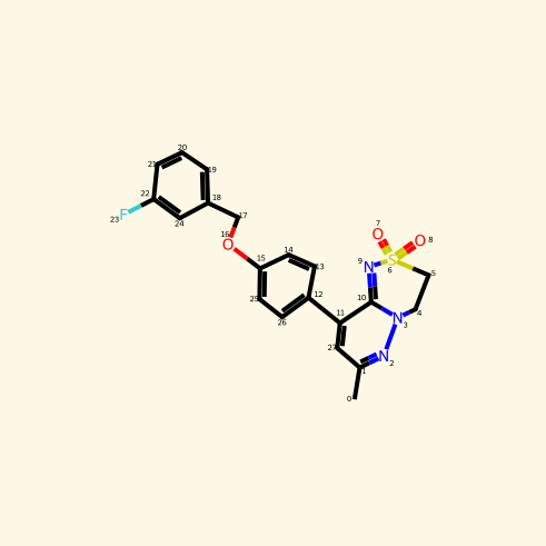 CC1=NN2CCS(=O)(=O)N=C2C(c2ccc(OCc3cccc(F)c3)cc2)=C1